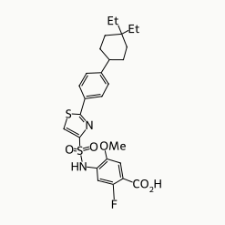 CCC1(CC)CCC(c2ccc(-c3nc(S(=O)(=O)Nc4cc(F)c(C(=O)O)cc4OC)cs3)cc2)CC1